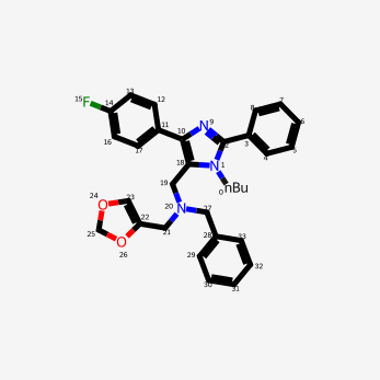 CCCCn1c(-c2ccccc2)nc(-c2ccc(F)cc2)c1CN(CC1=COCO1)Cc1ccccc1